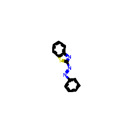 c1ccc(/N=N/c2nc3ccccc3s2)cc1